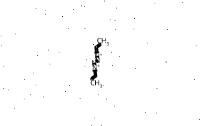 CCCC#[N+]N=N[N+]#CCCC